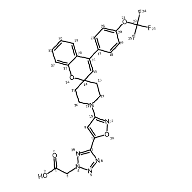 O=C(O)Cn1nnc(-c2cc(N3CCC4(C=C(c5ccc(OC(F)(F)F)cc5)c5ccccc5O4)CC3)no2)n1